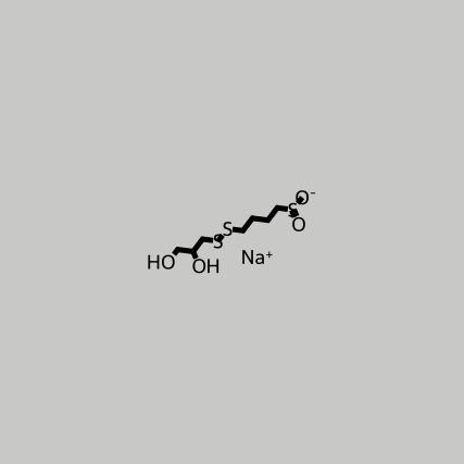 O=S([O-])CCCCSSCC(O)CO.[Na+]